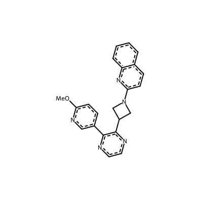 COc1ccc(-c2nccnc2C2CN(c3ccc4ccccc4n3)C2)cn1